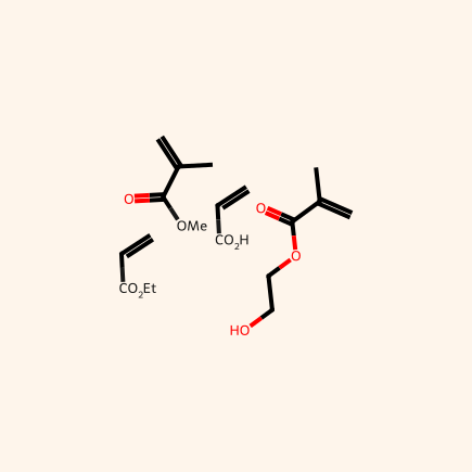 C=C(C)C(=O)OC.C=C(C)C(=O)OCCO.C=CC(=O)O.C=CC(=O)OCC